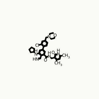 Cc1cc(C)c(CNC(=O)c2cc(-c3ccc(CN4CCOCC4)cc3Cl)cc(NC3CCCC3)c2C=N)c(=O)[nH]1